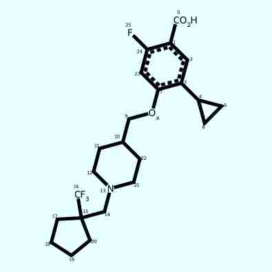 O=C(O)c1cc(C2CC2)c(OCC2CCN(CC3(C(F)(F)F)CCCC3)CC2)cc1F